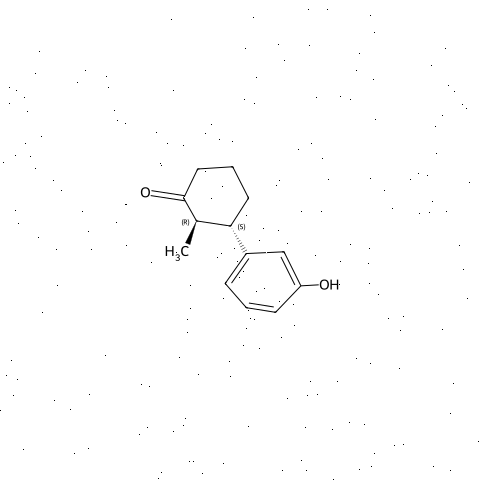 C[C@H]1C(=O)CCC[C@@H]1c1cccc(O)c1